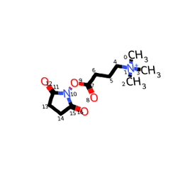 C[N+](C)(C)CCCC(=O)ON1C(=O)CCC1=O